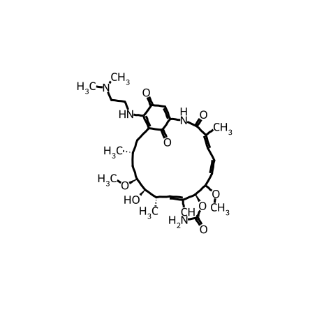 COC1/C=C\C=C(/C)C(=O)NC2=CC(=O)C(NCCN(C)C)=C(C[C@@H](C)C[C@H](OC)[C@H](O)[C@@H](C)/C=C(\C)[C@@H]1OC(N)=O)C2=O